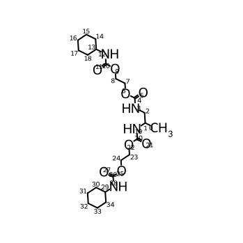 CC(CNC(=O)OCCOC(=O)NC1CCCCC1)NC(=O)OCCOC(=O)NC1CCCCC1